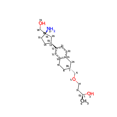 C[C@H](O)CCOC[C@@H]1CCc2cc([C@H]3CC[C@](N)(CO)C3)ccc2C1